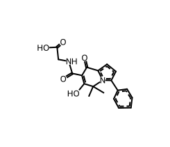 CC1(C)C(O)=C(C(=O)NCC(=O)O)C(=O)c2ccc(-c3ccccc3)n21